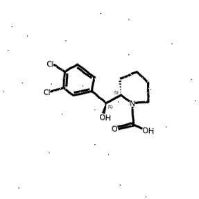 O=C(O)N1CCCC[C@H]1[C@@H](O)c1ccc(Cl)c(Cl)c1